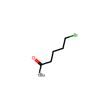 CC(C)(C)C(=O)CCCCBr